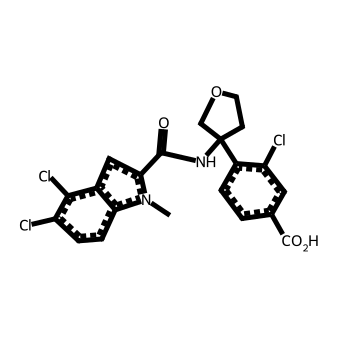 Cn1c(C(=O)NC2(c3ccc(C(=O)O)cc3Cl)CCOC2)cc2c(Cl)c(Cl)ccc21